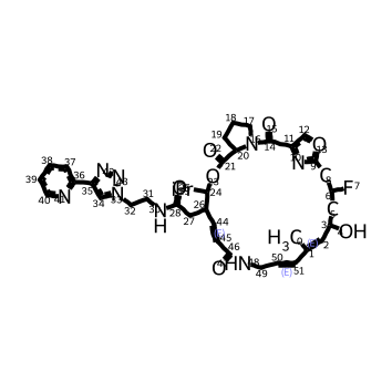 CC1=C\C(O)CC(F)Cc2nc(co2)C(=O)N2CCCC2C(=O)OC(C(C)C)C(CC(=O)NCCn2cc(-c3ccccn3)nn2)/C=C/C(=O)NC\C=C\1